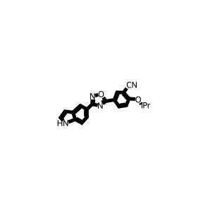 CC(C)Oc1ccc(-c2nc(-c3ccc4[nH]ccc4c3)no2)cc1C#N